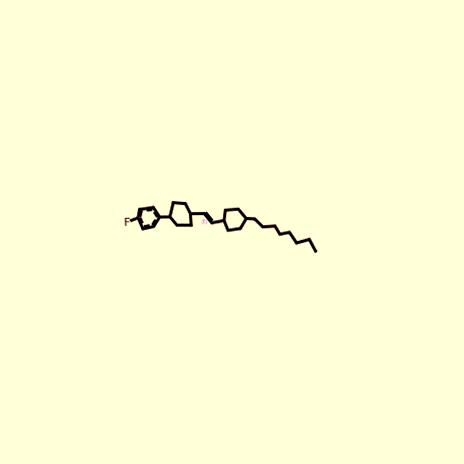 CCCCCCCCC1CCC(/C=C/C2CCC(c3ccc(F)cc3)CC2)CC1